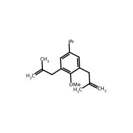 C=C(C)Cc1cc(C(C)C)cc(CC(=C)C)c1OC